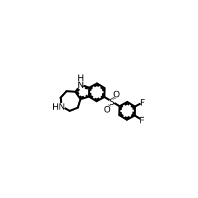 O=S(=O)(c1ccc(F)c(F)c1)c1ccc2[nH]c3c(c2c1)CCNCC3